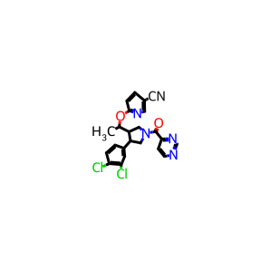 CC(Oc1ccc(C#N)cn1)C1CN(C(=O)c2ccncn2)CC1c1ccc(Cl)c(Cl)c1